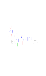 CCN1CCN(C[C@@H](O)[C@@H]2Cc3ccccc3CN2)C(=O)c2ccc(C(=O)N3C4CCC3COC4)cc21.Cl